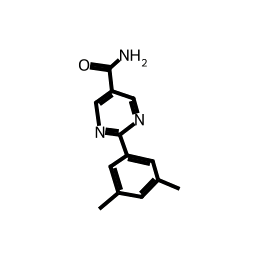 Cc1cc(C)cc(-c2ncc(C(N)=O)cn2)c1